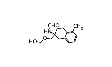 Cc1cccc2c1CCC(COCO)(NC=O)C2